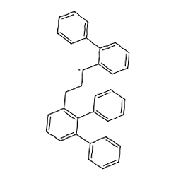 [CH](CCc1cccc(-c2ccccc2)c1-c1ccccc1)c1ccccc1-c1ccccc1